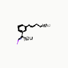 CCCC/C(=C\I)c1cccc(CCCCC(C)(C)C)c1